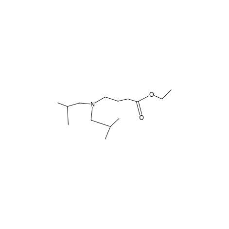 CCOC(=O)CCCN(CC(C)C)CC(C)C